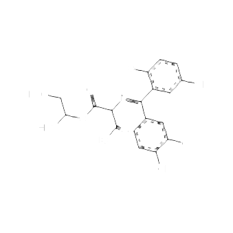 CCC(C)OC(=O)C(N=C(c1ccc(Cl)c(Cl)c1)c1cc(Cl)ccc1O)C(=O)O